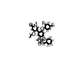 CCOc1cc(=O)n(C)cc1-c1cc(N(C)S(=O)(=O)Cc2ccccc2)ccc1Oc1ccc(F)cc1F